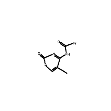 CC1=C[N]C(=O)N=C1NC(=O)C(C)C